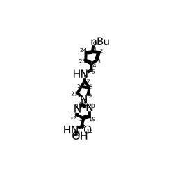 CCCCc1ccc(CNC2C3CN(c4ncc(C(=O)NO)cn4)CC32)cc1